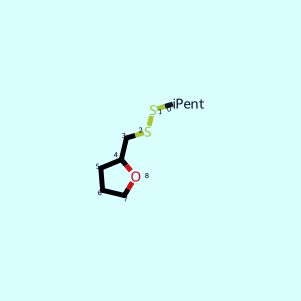 CCCC(C)SSCC1CCCO1